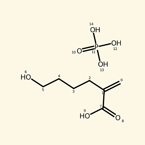 C=C(CCCCO)C(=O)O.O=P(O)(O)O